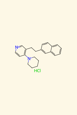 Cl.c1ccc2cc(CCc3cnccc3N3CCCCC3)ccc2c1